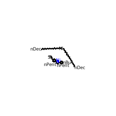 CCCCCC1=C(c2ccc(CCCC)cc2)[N+](=[N-])C(c2ccc(CC[Si](C)(C)C)cc2)=C1CCCCC.CCCCCCCCCCCCCCCCCCCCCCCCCCC[CH2][Ni][CH2]CCCCCCCCCCCCCCCCCCCCCCCCCCC